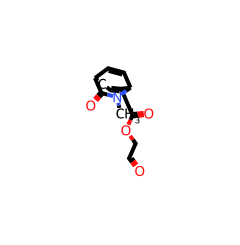 CN1C(=O)C2C=CC1C(C(=O)OCC=O)=CC2